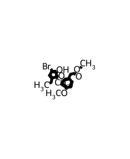 CCOC(=O)Cc1ccc(OC)cc1OC1(C)C(CC)=CC(Br)=C1O